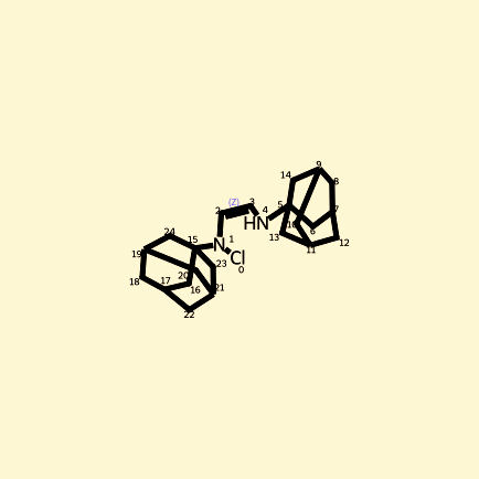 ClN(/C=C\NC12CC3CC(CC(C3)C1)C2)C12CC3CC(CC(C3)C1)C2